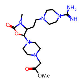 COC(=O)CN1CCN(C2OC(=O)N(C)C2CCN2CCN(C(=N)N)CC2)CC1